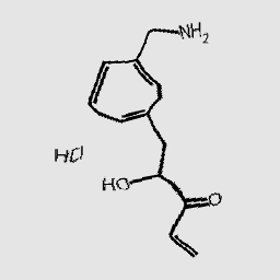 C=CC(=O)C(O)Cc1cccc(CN)c1.Cl